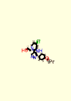 CC(C)O[C@H]1CC[C@H](C2=c3[nH]c4c(c3CN=N2)N(CCO)CC=C(Cl)C=4)CC1